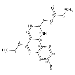 CCOC(=O)C1=CNC(COC(=O)CC)NC1c1ccc(F)cc1